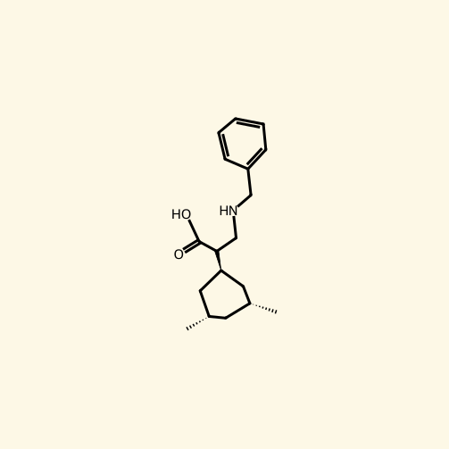 C[C@@H]1C[C@H](C)C[C@@H](C(CNCc2ccccc2)C(=O)O)C1